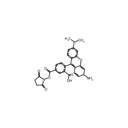 CN(C)c1ccc2c(c1)OC1=CC(N)C=CC1=C2c1ccc(C(=O)ON2C(=O)CCC2=O)cc1C(=O)O